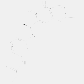 COC(=O)Nc1ccnc(N[C@@H](C)c2nc3cc(Cl)ccc3[nH]c2=O)n1